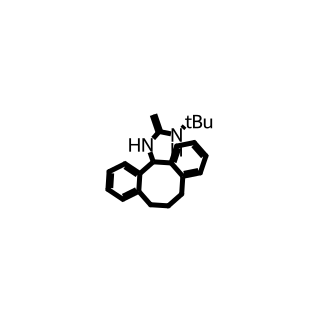 C=C(NC1c2ccccc2CCCc2ccccc21)NC(C)(C)C